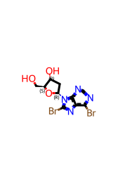 OC[C@@H]1O[C@@H](n2c(Br)nc3c(Br)ncnc32)C[C@H]1O